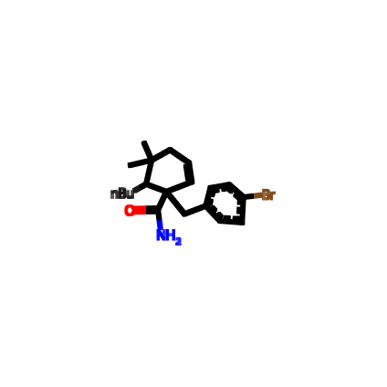 CCCCC1C(C)(C)CC=CC1(Cc1ccc(Br)cc1)C(N)=O